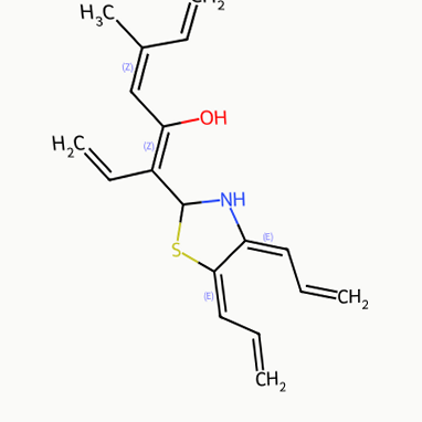 C=C/C=C1/NC(/C(C=C)=C(O)/C=C(/C)C=C)S/C1=C/C=C